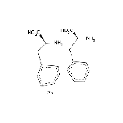 N[C@@H](Cc1ccccc1)C(=O)O.N[C@@H](Cc1ccccc1)C(=O)O.[Zn]